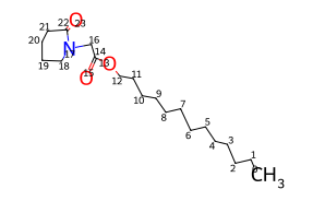 CCCCCCCCCCCCCOC(=O)CN1CCCCC1=O